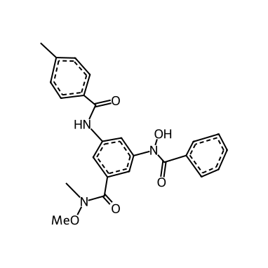 CON(C)C(=O)c1cc(NC(=O)c2ccc(C)cc2)cc(N(O)C(=O)c2ccccc2)c1